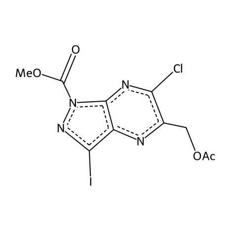 COC(=O)n1nc(I)c2nc(COC(C)=O)c(Cl)nc21